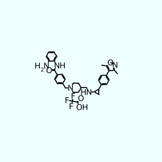 Cc1noc(C)c1-c1ccc(C2CC2NCC2CCN(Cc3ccc(C(=O)Nc4ccccc4N)cc3)CC2)cc1.O=C(O)C(F)(F)F